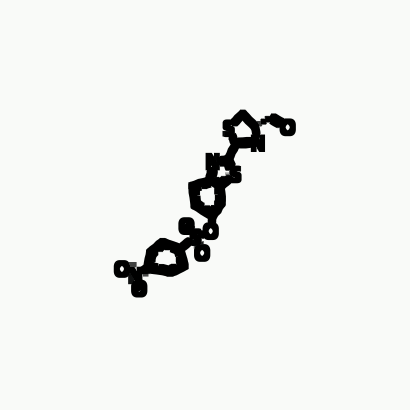 O=C[C@H]1CSC(c2nc3ccc(OS(=O)(=O)c4ccc([N+](=O)[O-])cc4)cc3s2)=N1